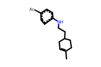 CC(=O)c1ccc(NCCC2CC=C(C)CC2)cc1